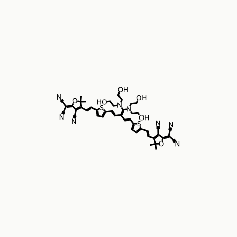 CC1(C)OC(=C(C#N)C#N)C(C#N)=C1/C=C/c1ccc(/C=C/C(/C=C/c2ccc(/C=C/C3=C(C#N)C(=C(C#N)C#N)OC3(C)C)s2)=C(N(CCO)CCO)N(CCO)CCO)s1